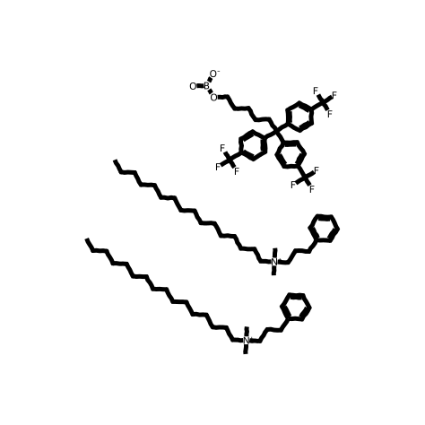 CCCCCCCCCCCCCCCC[N+](C)(C)CCCc1ccccc1.CCCCCCCCCCCCCCCC[N+](C)(C)CCCc1ccccc1.[O-]B([O-])OCCCCCC(c1ccc(C(F)(F)F)cc1)(c1ccc(C(F)(F)F)cc1)c1ccc(C(F)(F)F)cc1